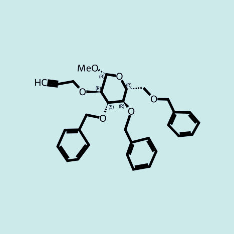 C#CCO[C@H]1[C@H](OC)O[C@H](COCc2ccccc2)[C@@H](OCc2ccccc2)[C@@H]1OCc1ccccc1